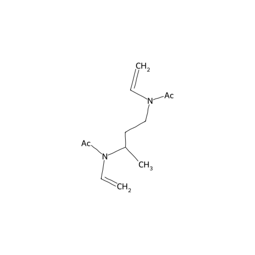 C=CN(CCC(C)N(C=C)C(C)=O)C(C)=O